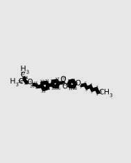 CCCCCCCCOc1ccc(OC(=O)c2ccc(-c3ccc(CCCOCC(C)CC)cc3)cc2)cc1